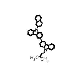 CC(C)=CCn1c2ccccc2c2cc(-c3ccc4c(c3)c3ccccc3n4-c3ccc4ccccc4c3)ccc21